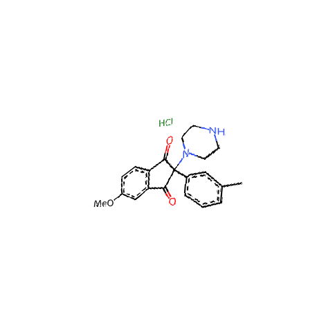 COc1ccc2c(c1)C(=O)C(c1cccc(C)c1)(N1CCNCC1)C2=O.Cl